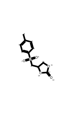 Cc1ccc(S(=O)(=O)CC2COC(=O)O2)cc1